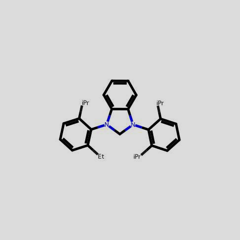 CCc1cccc(C(C)C)c1N1CN(c2c(C(C)C)cccc2C(C)C)c2ccccc21